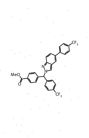 COC(=O)c1ccc(C(c2ccc(C(F)(F)F)cc2)n2cc3cc(-c4ccc(C(F)(F)F)cc4)ccc3n2)cc1